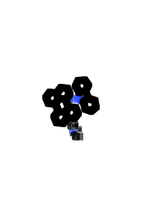 C.C#N.c1cc2cccc3c4cccc5cccc(c(c1)c23)c54.c1ccc2c(c1)[nH]c1ccccc12